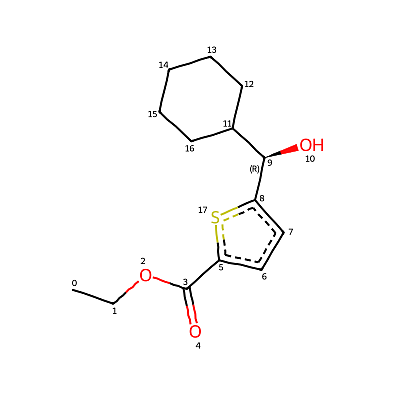 CCOC(=O)c1ccc([C@H](O)C2CCCCC2)s1